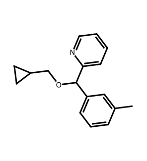 Cc1cccc(C(OCC2CC2)c2ccccn2)c1